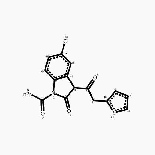 CCCC(=O)N1C(=O)C(C(=O)Cc2cccs2)c2cc(Cl)ccc21